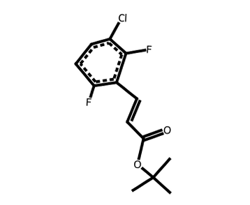 CC(C)(C)OC(=O)C=Cc1c(F)ccc(Cl)c1F